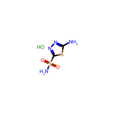 Cl.Nc1nnc(S(N)(=O)=O)s1